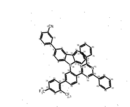 N#Cc1cccc(-c2ccc3c(c2)c2ccccc2n3-c2cc(-c3ccc(C(F)(F)F)cc3C(F)(F)F)ccc2-c2nc(-c3ccccc3)nc(-c3ccccc3)n2)c1